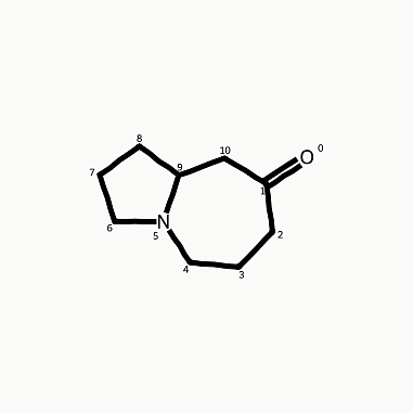 O=C1CCCN2CCCC2C1